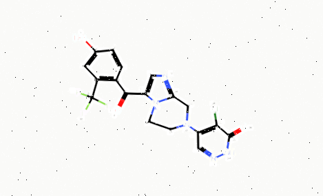 O=C(c1ccc(O)cc1C(F)(F)F)c1cnc2n1CCN(c1cn[nH]c(=O)c1Cl)C2